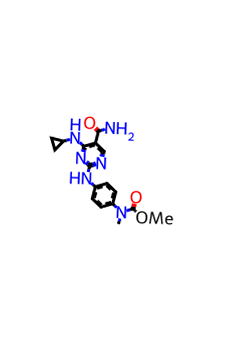 COC(=O)N(C)c1ccc(Nc2ncc(C(N)=O)c(NC3CC3)n2)cc1